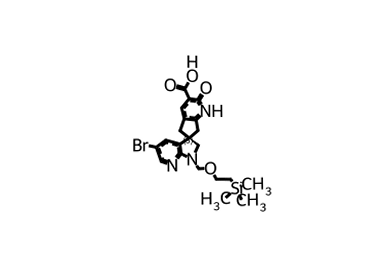 C[Si](C)(C)CCOCN1C[C@]2(Cc3cc(C(=O)O)c(=O)[nH]c3C2)c2cc(Br)cnc21